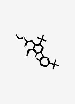 CCOC(=O)Cc1c(C(C)(C)C)cc2c([nH]c3ccc(C(C)(C)C)cc32)c1C=O